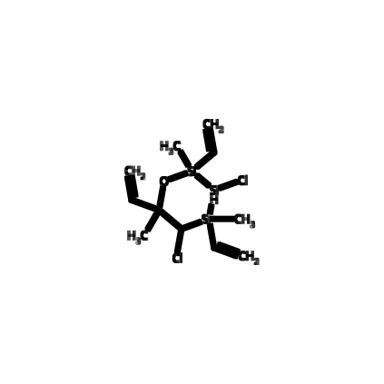 C=CC1(C)O[Si](C)(C=C)[SiH](Cl)[Si](C)(C=C)C1Cl